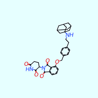 O=C1CCC(N2C(=O)c3cccc(OCc4ccc(CCNC56CC7CC(CC(C7)C5)C6)cc4)c3C2=O)C(=O)N1